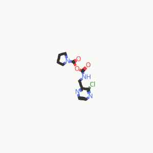 O=C(NCc1nccnc1Cl)OC(=O)N1CCCC1